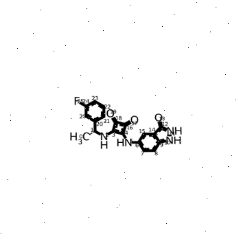 C[C@@H](Nc1c(Nc2ccc3[nH][nH]c(=O)c3c2)c(=O)c1=O)c1cccc(F)c1